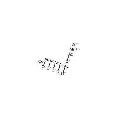 CC(=O)[O-].CC(=O)[O-].CC(=O)[O-].CC(=O)[O-].CC(=O)[O-].CC(=O)[O-].[Co].[Mn+2].[Zr+4]